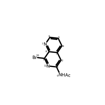 CC(=O)Nc1cc2cccnc2c(Br)n1